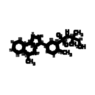 Cc1ccc(-c2nnc3c4ccccc4c(C)nn23)cc1S(=O)(=O)NC(C)(C)CO